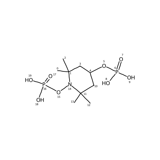 CC1(C)CC(OP(=O)(O)O)CC(C)(C)N1OP(=O)(O)O